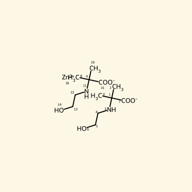 CC(C)(NCCO)C(=O)[O-].CC(C)(NCCO)C(=O)[O-].[Zn+2]